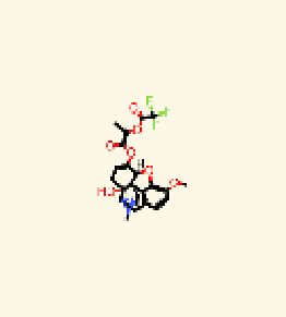 COc1ccc2c3c1O[C@H]1C(OC(=O)C(C)OC(=O)C(F)(F)F)=CC[C@@]4(O)C(C2)N(C)CC[C@]314